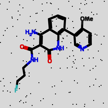 COc1ccncc1-c1cccc2c(N)c(C(=O)NCCCF)c(=O)[nH]c12